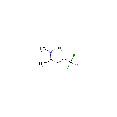 CC(CCC(F)(F)F)N(C)C